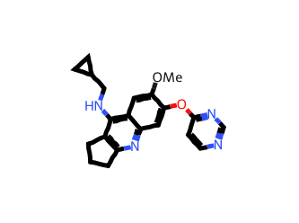 COc1cc2c(NCC3CC3)c3c(nc2cc1Oc1ccncn1)CCC3